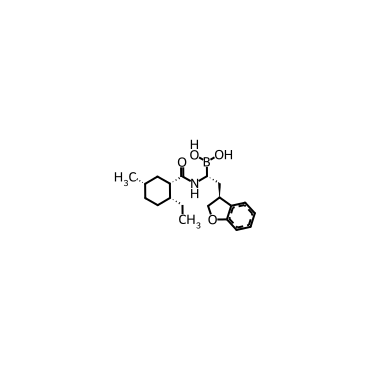 CC[C@@H]1CC[C@H](C)C[C@@H]1C(=O)N[C@@H](C[C@@H]1COc2ccccc21)B(O)O